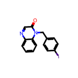 O=c1cnc2ccccc2n1Cc1ccc(I)cc1